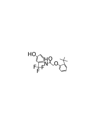 CC(C)(C)c1ccccc1OCC(=O)Nc1ccc(O)cc1C(F)(F)F